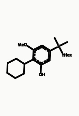 CCCCCC[Si](C)(C)c1cc(O)c(C2CCCCC2)c(OC)c1